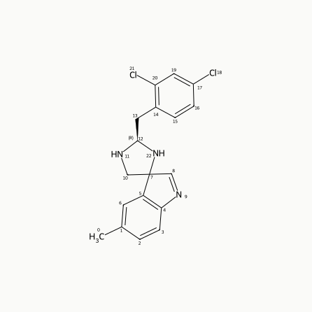 Cc1ccc2c(c1)C1(C=N2)CN[C@@H](Cc2ccc(Cl)cc2Cl)N1